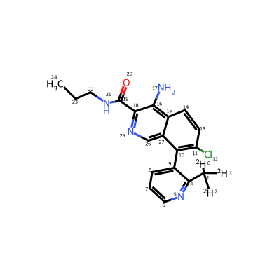 [2H]C([2H])([2H])c1ncccc1-c1c(Cl)ccc2c(N)c(C(=O)NCCC)ncc12